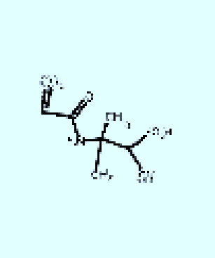 C=CC(=O)NC(C)(C)C(O)S(=O)(=O)O